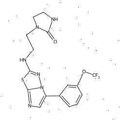 O=C1NCCN1CCNc1nn2c(-c3cccc(OC(F)(F)F)c3)cnc2s1